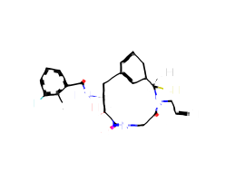 C=CCN1C(=O)CNC(=O)[C@@H](O)[C@@H](NC(=O)c2cccc(F)c2C)CC2=CC(CC=C2)[C@]1(C)S